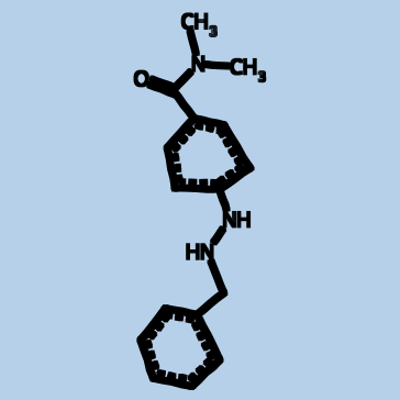 CN(C)C(=O)c1ccc(NNCc2ccccc2)cc1